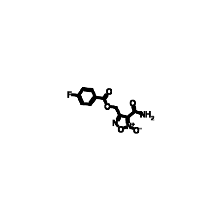 NC(=O)c1c(COC(=O)c2ccc(F)cc2)no[n+]1[O-]